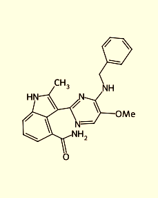 COc1cnc(-c2c(C)[nH]c3cccc(C(N)=O)c23)nc1NCc1ccccc1